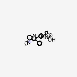 CO/N=C1\CCCc2nc(-c3ccc(C4(NC(=O)O)CCC4)cc3)c(-c3ccccc3)cc21